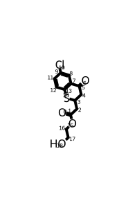 O=C(CC1CC(=O)c2cc(Cl)ccc2S1)OCCO